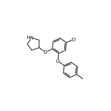 Cc1ccc(Oc2cc(Cl)ccc2OC2CCNC2)cc1